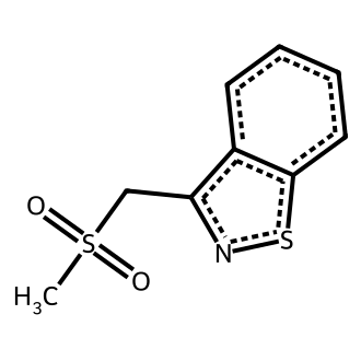 CS(=O)(=O)Cc1nsc2ccccc12